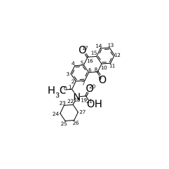 CC(c1ccc2c(c1)C(=O)c1ccccc1C2=O)N(C(=O)O)C1CCCCC1